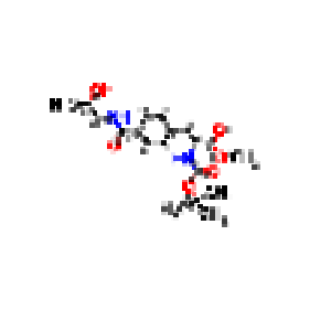 COC(=O)C(Cc1ccc(C(=O)NCC(C)O)cc1)NC(=O)OC(C)(C)C